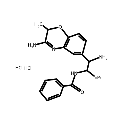 CCCC(NC(=O)c1ccccc1)C(N)c1ccc2c(c1)N=C(N)C(C)O2.Cl.Cl